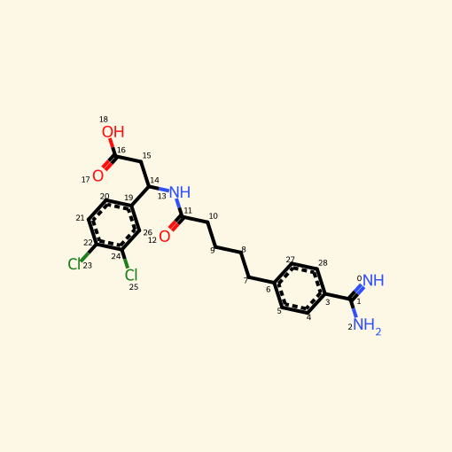 N=C(N)c1ccc(CCCCC(=O)NC(CC(=O)O)c2ccc(Cl)c(Cl)c2)cc1